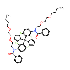 CCCCOCCOCCN(C(=O)c1ccccc1)c1ccc(F)[c]([Ti]([c]2c(F)ccc(N(CCOCCOCCCC)C(=O)c3ccccc3)c2F)([CH]2C=CC=C2)[CH]2C=CC=C2)c1F